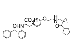 O=C(c1ccccc1)c1ccccc1NC(Cc1ccc(OCCNCC2(C(=O)C3CCCC3)CC2)cc1)C(=O)O